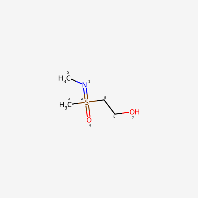 CN=S(C)(=O)CCO